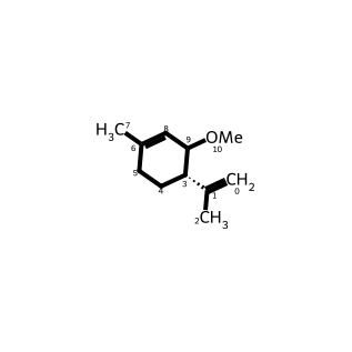 C=C(C)[C@@H]1CCC(C)=CC1OC